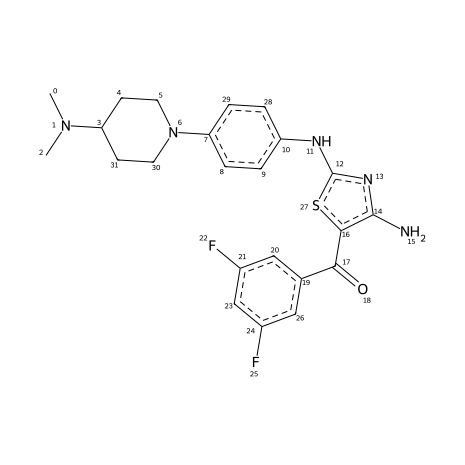 CN(C)C1CCN(c2ccc(Nc3nc(N)c(C(=O)c4cc(F)cc(F)c4)s3)cc2)CC1